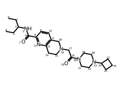 CCC(CC)NC(=O)c1ccc2c(n1)CCN(CC(=O)N1CCN(C3CCC3)CC1)C2